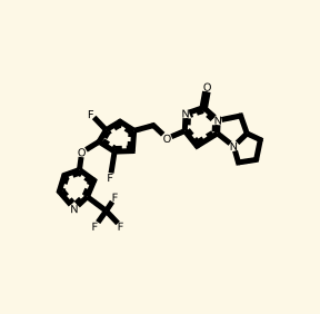 O=c1nc(OCc2cc(F)c(Oc3ccnc(C(F)(F)F)c3)c(F)c2)cc2n1CC1CCCN21